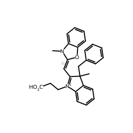 CN1/C(=C/C2=[N+](CCC(=O)O)c3ccccc3C2(C)Cc2ccccc2)Oc2ccccc21